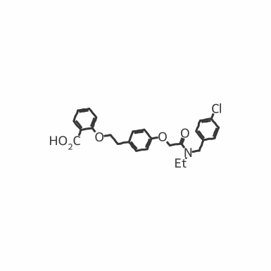 CCN(Cc1ccc(Cl)cc1)C(=O)COc1ccc(CCOc2ccccc2C(=O)O)cc1